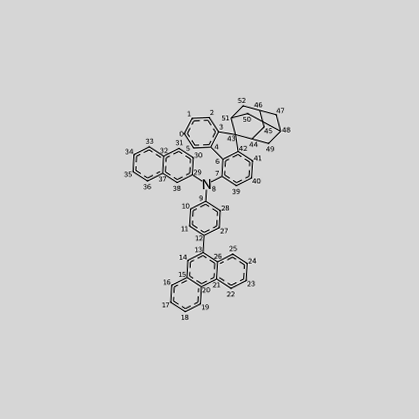 c1ccc2c(c1)-c1c(N(c3ccc(-c4cc5ccccc5c5ccccc45)cc3)c3ccc4ccccc4c3)cccc1C21C2CC3CC(C2)CC1C3